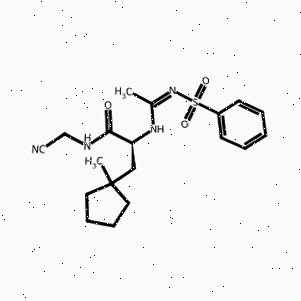 CC(=NS(=O)(=O)c1ccccc1)N[C@@H](CC1(C)CCCC1)C(=O)NCC#N